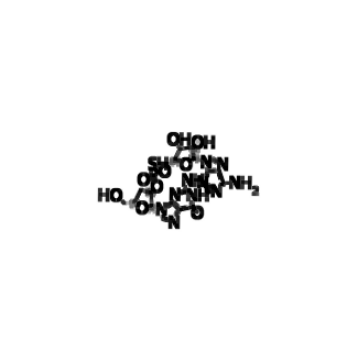 Nc1nc2c(ncn2[C@@H]2O[C@H](CO)C[C@@H]2O[P@](=O)(S)OC[C@H]2O[C@@H](n3cnc4c(N)ncnc43)[C@@H](O)C2O)c(=O)[nH]1